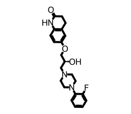 O=C1CCc2cc(OC[C@@H](O)CN3CCN(c4ccccc4F)CC3)ccc2N1